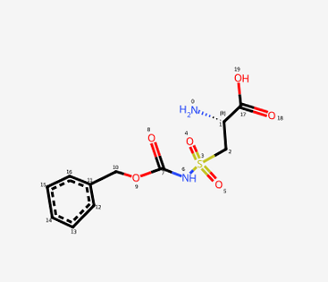 N[C@@H](CS(=O)(=O)NC(=O)OCc1ccccc1)C(=O)O